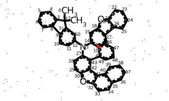 CC1(C)c2ccccc2-c2ccc(N(c3ccc4c(c3)oc3ccccc34)c3ccc4oc5ccc6ccccc6c5c4c3-c3ccccc3)cc21